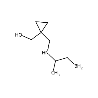 BCC(C)NCC1(CO)CC1